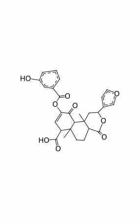 CC12CCC3C(=O)OC(c4ccoc4)CC3(C)C1C(=O)C(OC(=O)c1cccc(O)c1)=CC2C(=O)O